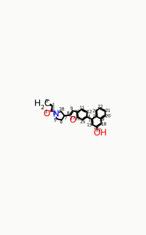 C=CC(=O)N1CCC(c2cc3ccc(-c4cc(O)cc5ccccc45)cc3o2)C1